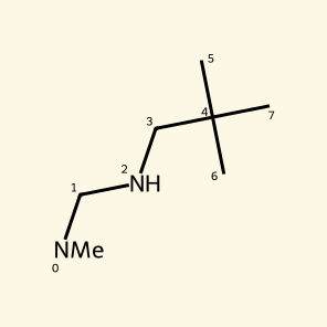 CNCNCC(C)(C)C